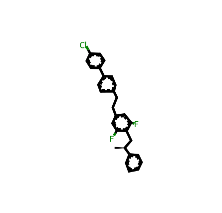 C[C@@H](Cc1c(F)cc(CCc2ccc(-c3ccc(Cl)cc3)cc2)cc1F)c1ccccc1